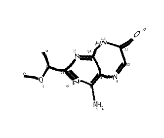 COC(C)c1nc(N)c2ncc(=O)[nH]c2n1